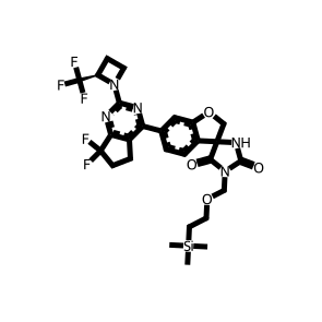 C[Si](C)(C)CCOCN1C(=O)NC2(COc3cc(-c4nc(N5CC[C@@H]5C(F)(F)F)nc5c4CCC5(F)F)ccc32)C1=O